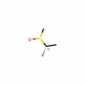 [CH2][C@@H](C)[S+](C)[O-]